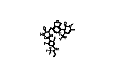 CCC(Nc1cc(F)c(C(=O)NC(Cc2ccc(-c3c(C(F)(F)F)cc(C)n(C)c3=O)c3c2COC3)C(=O)O)c(F)c1)C(F)(F)F